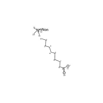 CCCCCCCCCC(=O)[O-].CCCCCCCCC[N+](C)(C)C